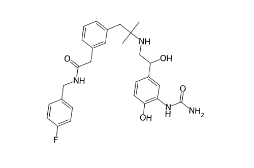 CC(C)(Cc1cccc(CC(=O)NCc2ccc(F)cc2)c1)NCC(O)c1ccc(O)c(NC(N)=O)c1